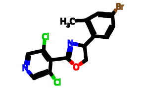 Cc1cc(Br)ccc1C1COC(c2c(Cl)cncc2Cl)=N1